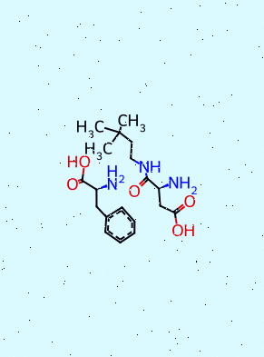 CC(C)(C)CCNC(=O)[C@@H](N)CC(=O)O.N[C@@H](Cc1ccccc1)C(=O)O